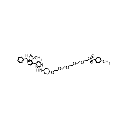 Cc1ccc(S(=O)(=O)OCCOCCOCCOCCOCCO[C@H]2CC[C@H](Nc3nccc(-c4cnn(Cc5ccccc5)c4N(C)C)n3)CC2)cc1